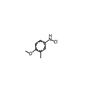 COc1ccc(NCl)cc1C